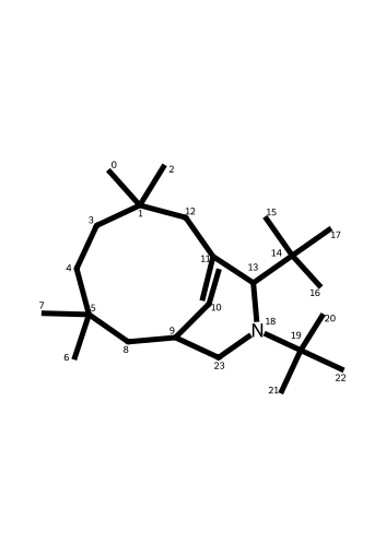 CC1(C)CCC(C)(C)CC2C=C(C1)C(C(C)(C)C)N(C(C)(C)C)C2